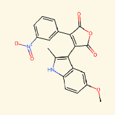 COc1ccc2[nH]c(C)c(C3=C(c4cccc([N+](=O)[O-])c4)C(=O)OC3=O)c2c1